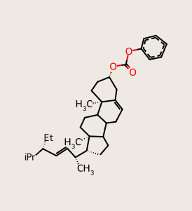 CC[C@H](/C=C/[C@@H](C)[C@H]1CCC2C3CC=C4C[C@@H](OC(=O)Oc5ccccc5)CC[C@]4(C)C3CC[C@@]21C)C(C)C